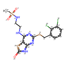 CS(=O)(=O)NCCNc1nc(SCc2cccc(F)c2F)nc2[nH]c(=O)sc12